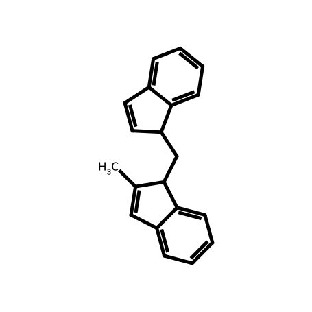 CC1=Cc2ccccc2C1CC1C=Cc2ccccc21